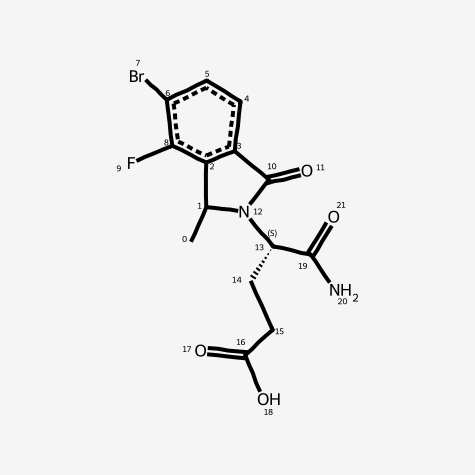 CC1c2c(ccc(Br)c2F)C(=O)N1[C@@H](CCC(=O)O)C(N)=O